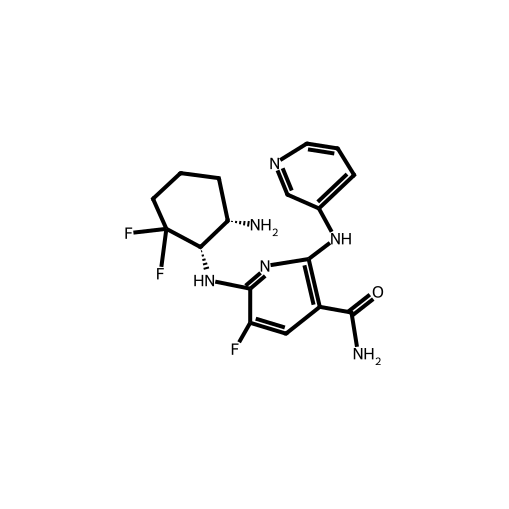 NC(=O)c1cc(F)c(N[C@H]2[C@@H](N)CCCC2(F)F)nc1Nc1cccnc1